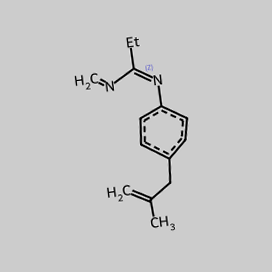 C=N/C(CC)=N\c1ccc(CC(=C)C)cc1